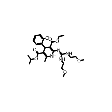 CCOC(=O)C1=C(N=C(NCCOC)NCCOC)NC(C)=C(C(=O)OC(C)C)C1c1ccccc1Cl